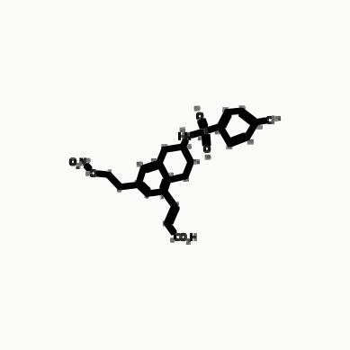 O=C(O)C=Cc1cc(CCO[N+](=O)[O-])cc2c1CCC(NS(=O)(=O)c1ccc(Cl)cc1)C2